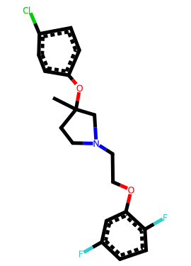 CC1(Oc2ccc(Cl)cc2)CCN(CCOc2cc(F)ccc2F)C1